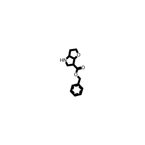 O=C(OCc1ccccc1)C1CNC2CCOC21